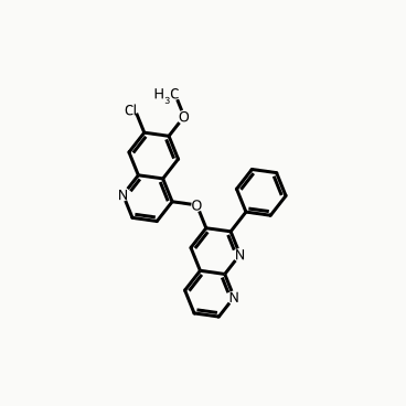 COc1cc2c(Oc3cc4cccnc4nc3-c3ccccc3)ccnc2cc1Cl